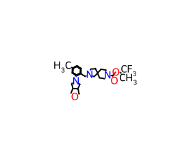 Cc1ccc(CN2CCC3(CCN(C(=O)OC(C)C(F)(F)F)CC3)C2)c(N2CC3COCC3C2)c1